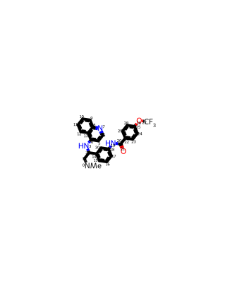 CNCC(Nc1ccnc2ccccc12)c1cccc(NC(=O)c2ccc(OC(F)(F)F)cc2)c1